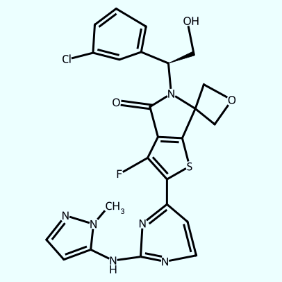 Cn1nccc1Nc1nccc(-c2sc3c(c2F)C(=O)N([C@H](CO)c2cccc(Cl)c2)C32COC2)n1